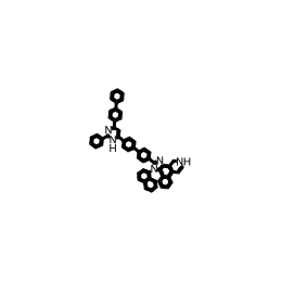 C1=Cc2c(c3nc(-c4ccc(-c5ccc(C6=CC(c7ccc(-c8ccccc8)cc7)=NC(c7ccccc7)N6)cc5)cc4)n(-c4cccc5ccccc45)c3c3ccccc23)CN1